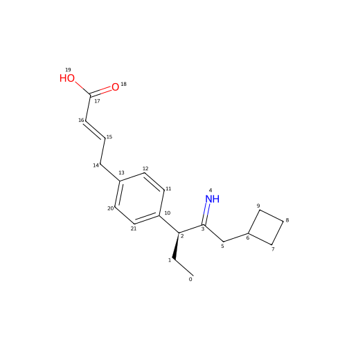 CC[C@H](C(=N)CC1CCC1)c1ccc(C/C=C/C(=O)O)cc1